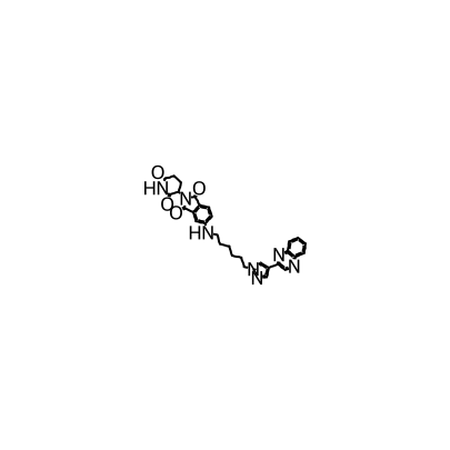 O=C1CCC(N2C(=O)c3ccc(NCCCCCCn4cc(-c5cnc6ccccc6n5)cn4)cc3C2=O)C(=O)N1